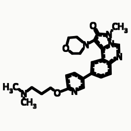 CN(C)CCCOc1ccc(-c2ccc3ncn4c(c(N5CCOCC5)c(=O)n4C)c3c2)cn1